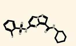 O=C(NC1CCCCC1)c1cnn2ccc(NS(=O)(=O)c3ccccc3F)nc12